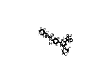 C[C@H]1COCCN1c1cc(C(C)(C)S(C)(=O)=O)nc(-c2ccc(NC(=O)NCc3cccnc3)cc2)n1